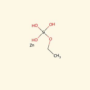 CCO[Si](O)(O)O.[Zn]